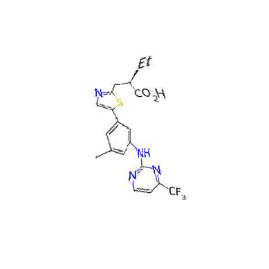 CC[C@H](Cc1ncc(-c2cc(C)cc(Nc3nccc(C(F)(F)F)n3)c2)s1)C(=O)O